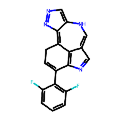 Fc1cccc(F)c1C1=CCc2c3nncc-3[nH]cc3cnc1c2-3